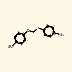 CC(C)(C)c1ccc(OCOc2ccc(C(C)(C)C)cc2)cc1